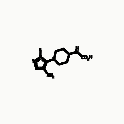 Cn1ncc(N)c1N1CCC(NC(=O)O)CC1